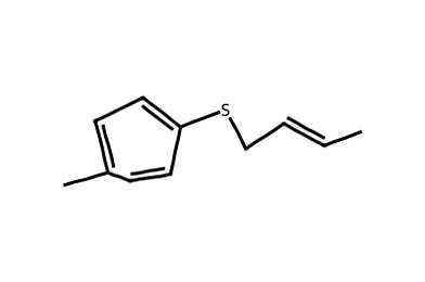 C/C=C/CSc1ccc(C)cc1